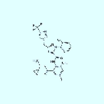 Cc1cc(I)cc(C(=O)NC(C)C2CC2)c1NC(=O)c1cc(Cn2cc(C(F)(F)F)nn2)nn1-c1ncccc1Cl